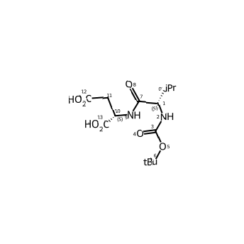 CC(C)[C@H](NC(=O)OC(C)(C)C)C(=O)N[C@@H](CC(=O)O)C(=O)O